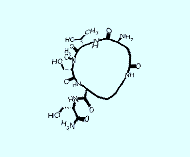 CC(O)[C@@H]1NC(=O)[C@@H](N)CCC(=O)NCCCC[C@@H](C(=O)N[C@@H](CO)C(N)=O)NC(=O)[C@H](CO)N(C)C1=O